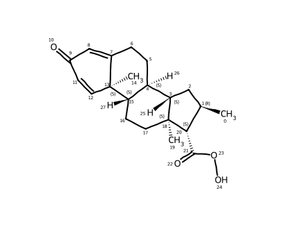 C[C@@H]1C[C@H]2[C@@H]3CCC4=CC(=O)C=C[C@]4(C)[C@H]3CC[C@]2(C)[C@H]1C(=O)OO